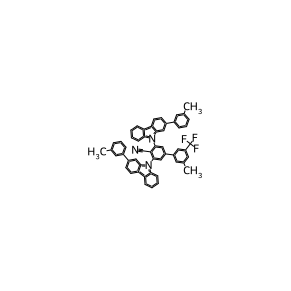 Cc1cccc(-c2ccc3c4ccccc4n(-c4cc(-c5cc(C)cc(C(F)(F)F)c5)cc(-n5c6ccccc6c6ccc(-c7cccc(C)c7)cc65)c4C#N)c3c2)c1